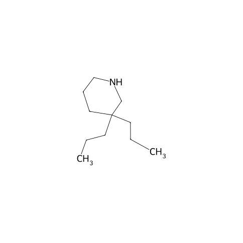 CCCC1(CCC)CCCNC1